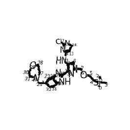 C[Si](C)(C)CCOCn1cc(Nc2ccnc(Cl)n2)c(-c2nc3cc(CN4CCOCC4)ccc3[nH]2)n1